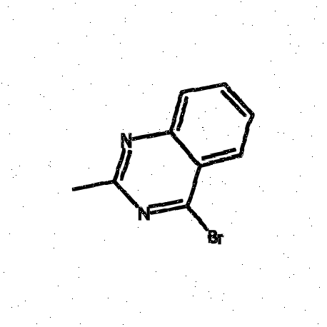 Cc1nc(Br)c2ccccc2n1